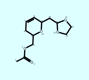 CC(=O)OCC1CC=CC(CC2OCCO2)O1